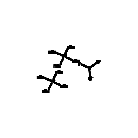 CCCC[P+](CCCC)(CCCC)CCCC.CCCC[P+](CCCC)(CCCC)CCCC.[O-]B([O-])F